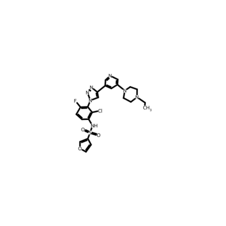 CCN1CCN(c2cncc(-c3cn(-c4c(F)ccc(NS(=O)(=O)c5ccoc5)c4Cl)nn3)c2)CC1